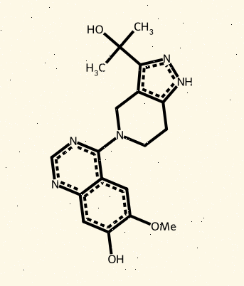 COc1cc2c(N3CCc4[nH]nc(C(C)(C)O)c4C3)ncnc2cc1O